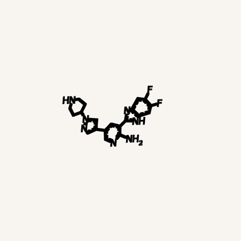 Nc1ncc(-c2cnn(C3CCNCC3)c2)cc1-c1nc2cc(F)c(F)cc2[nH]1